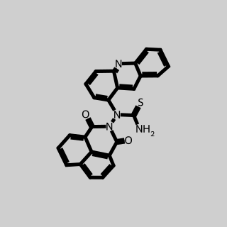 NC(=S)N(c1cccc2nc3ccccc3cc12)N1C(=O)c2cccc3cccc(c23)C1=O